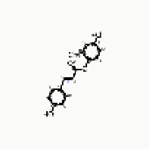 O=C(/C=C/c1ccc(O)cc1)Oc1ccc(Cl)cc1Cl